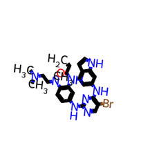 C=CC(=O)Nc1cc(Nc2ncc(Br)c(Nc3ccc4cc[nH]c4c3)n2)ccc1N(C)CCN(C)C